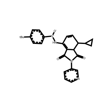 CC(C)(C)c1ccc([S+]([O-])NC2=C3C(=O)N(c4cccnc4)C(=O)C3C(C3CC3)C=C2)cc1